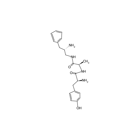 C[C@@H](NC(=O)[C@@H](N)Cc1ccc(O)cc1)C(=O)NC[C@@H](N)Cc1ccccc1